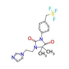 CC1(C)C(=O)N(c2ccc(CS(F)(F)F)cc2)C(=O)N1CCn1ccnc1